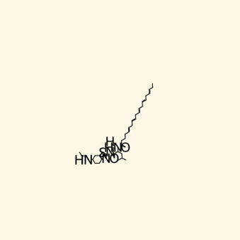 CCC=CCC=CCC=CCC=CCC=CCCCC(=O)NC(CC(C)C)C(=O)Nc1nc2c(s1)CC(NCCC)CC2